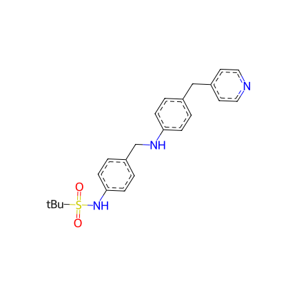 CC(C)(C)S(=O)(=O)Nc1ccc(CNc2ccc(Cc3ccncc3)cc2)cc1